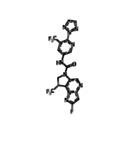 O=C(Nc1cnc(-n2nccn2)c(C(F)(F)F)c1)N1CC(C(F)(F)F)c2c1cnc1cc(F)nn21